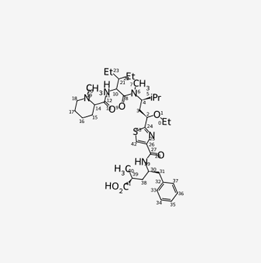 CCO[C@H](C[C@H](C(C)C)N(C)C(=O)C(NC(=O)C1CCCCN1C)C(CC)CC)c1nc(C(=O)N[C@@H](Cc2ccccc2)C[C@H](C)C(=O)O)cs1